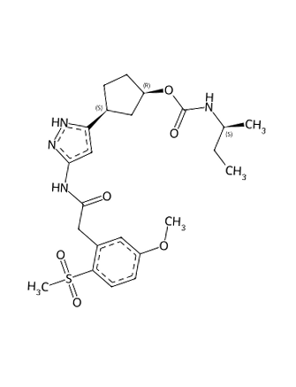 CC[C@H](C)NC(=O)O[C@@H]1CC[C@H](c2cc(NC(=O)Cc3cc(OC)ccc3S(C)(=O)=O)n[nH]2)C1